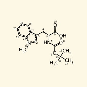 Cn1cc(C[C@H](NC(=O)OC(C)(C)C)C(=O)O)c2ccccc21